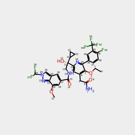 CCOc1c(CC(N)=O)cc([C@@](O)(CNC(=O)c2cc(OC)c3nn(C(F)F)cc3c2)C2CC2)nc1-c1ccc(F)c(C(F)(F)F)c1